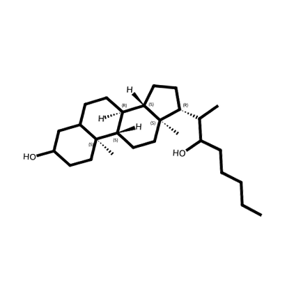 CCCCCC(O)C(C)[C@H]1CC[C@H]2[C@@H]3CCC4CC(O)CC[C@]4(C)[C@H]3CC[C@]12C